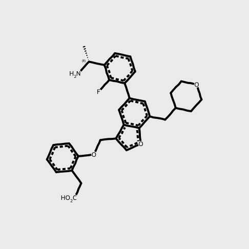 C[C@@H](N)c1cccc(-c2cc(CC3CCOCC3)c3occ(COc4ccccc4CC(=O)O)c3c2)c1F